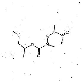 COCC(C)OC(=O)N(C)SN(C)C(=O)F